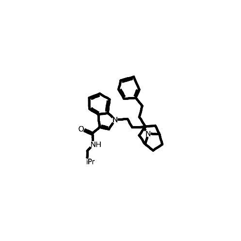 CC(C)CNC(=O)c1cn(CCCN2C3CCC2CC(CCc2ccccc2)C3)c2ccccc12